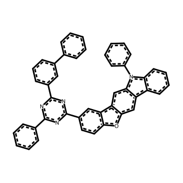 c1ccc(-c2cccc(-c3nc(-c4ccccc4)nc(-c4ccc5oc6cc7c8ccccc8n(-c8ccccc8)c7cc6c5c4)n3)c2)cc1